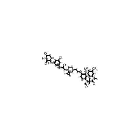 CCc1cc(N(C=S)C(C)(C)C(=O)N(C)c2ccc(C#N)c(C(F)(F)F)c2)ccc1OCCN1CCN(CC(=O)Nc2cc(Cl)cc(NC3CCC(=O)NC3=O)c2)C2(CC2)C1